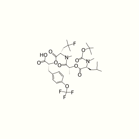 CC(C)C[C@@H](C(=O)O[C@H](C)C(=O)N(C)[C@@H](CC(C)(C)F)C(=O)O[C@H](Cc1ccc(OC(F)(F)F)cc1)C(=O)O)N(C)C(=O)OC(C)(C)C